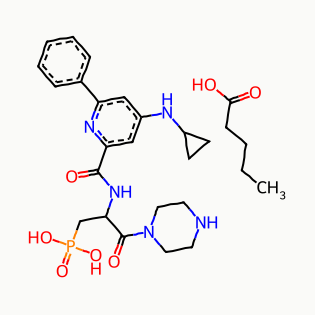 CCCCC(=O)O.O=C(NC(CP(=O)(O)O)C(=O)N1CCNCC1)c1cc(NC2CC2)cc(-c2ccccc2)n1